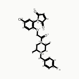 CC1CN(C(=O)COc2ccc(Cl)cc2N2C(=O)C=CC2=O)C(C)CN1Cc1ccc(F)cc1